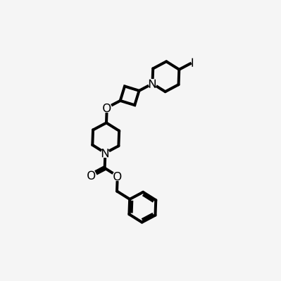 O=C(OCc1ccccc1)N1CCC(OC2CC(N3CCC(I)CC3)C2)CC1